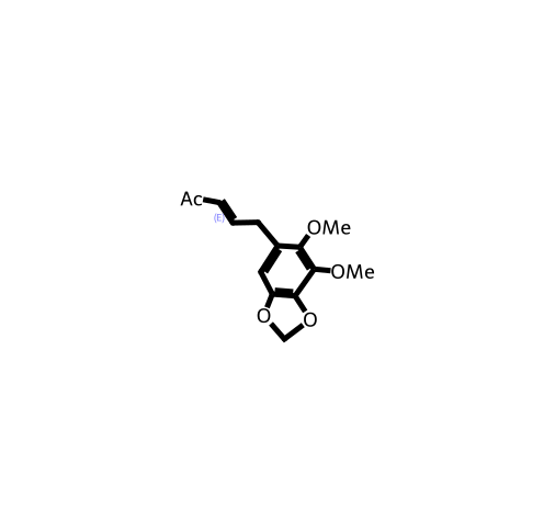 COc1c(C/C=C/C(C)=O)cc2c(c1OC)OCO2